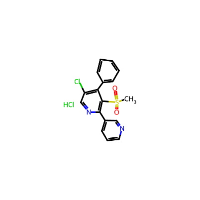 CS(=O)(=O)c1c(-c2cccnc2)ncc(Cl)c1-c1ccccc1.Cl